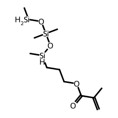 C=C(C)C(=O)OCCC[SiH](C)O[Si](C)(C)O[SiH2]C